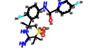 CC1(C)C(=N)N[C@](C)(c2cc(NC(=O)c3ccc(F)cn3)ccc2F)CS1(=O)=O